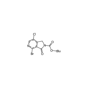 CC(C)(C)OC(=O)N1Cc2c(Cl)cnc(Br)c2C1=O